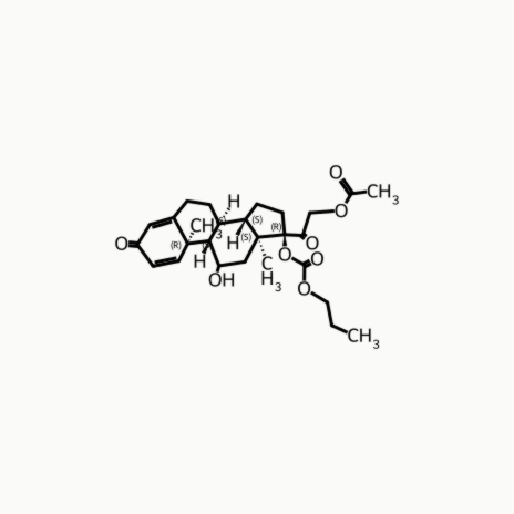 CCCOC(=O)O[C@]1(C(=O)COC(C)=O)CC[C@H]2[C@@H]3CCC4=CC(=O)C=C[C@]4(C)[C@H]3C(O)C[C@@]21C